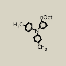 CCCCCCCCc1cccc(N(c2ccc(C)cc2)c2ccc(C)cc2)c1